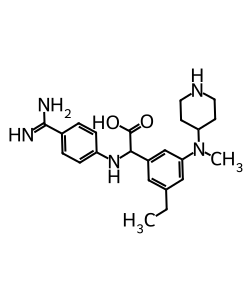 CCc1cc(C(Nc2ccc(C(=N)N)cc2)C(=O)O)cc(N(C)C2CCNCC2)c1